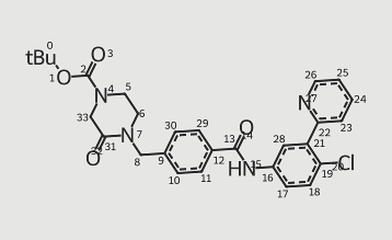 CC(C)(C)OC(=O)N1CCN(Cc2ccc(C(=O)Nc3ccc(Cl)c(-c4ccccn4)c3)cc2)C(=O)C1